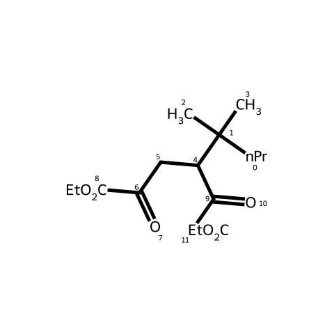 CCCC(C)(C)C(CC(=O)C(=O)OCC)C(=O)C(=O)OCC